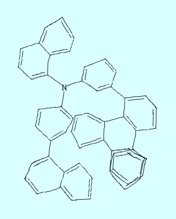 c1ccc(-c2ccccc2-c2c(-c3ccccc3)cccc2-c2cccc(N(c3ccc(-c4cccc5ccccc45)cc3)c3cccc4ccccc34)c2)cc1